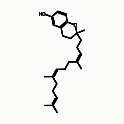 CC(C)=CCCC(C)=CCCC(C)=CCCC1(C)CCc2cc(O)ccc2O1